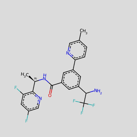 Cc1ccc(-c2cc(C(=O)N[C@H](C)c3ncc(F)cc3F)cc(C(N)C(F)(F)F)c2)nc1